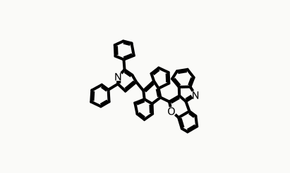 c1ccc(-c2cc(-c3c4ccccc4c(-c4oc5ccccc5c5nc6ccccc6c4-5)c4ccccc34)cc(-c3ccccc3)n2)cc1